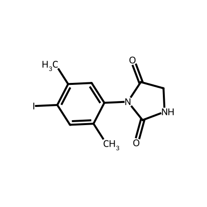 Cc1cc(N2C(=O)CNC2=O)c(C)cc1I